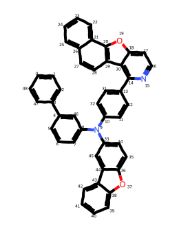 c1ccc(-c2cccc(N(c3ccc(-c4nccc5oc6c7ccccc7ccc6c45)cc3)c3ccc4oc5ccccc5c4c3)c2)cc1